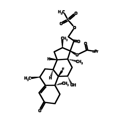 CCCC(=O)O[C@]1(C(=O)COS(C)(=O)=O)[C@H](C)C[C@H]2[C@@H]3C[C@H](C)C4=CC(=O)CC[C@]4(C)[C@@]3(F)[C@@H](O)C[C@@]21C